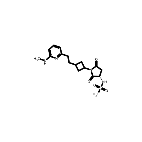 CNc1cccc(CCC2CC(N3C(=O)C[C@H](NS(C)(=O)=O)C3=O)C2)n1